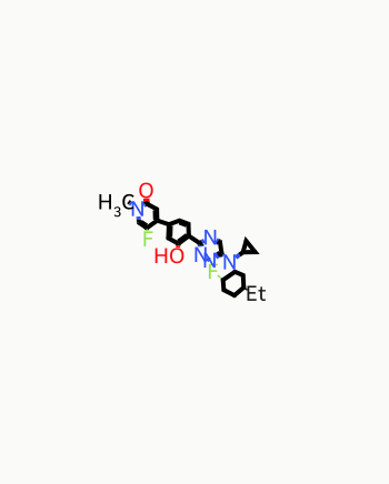 CC[C@@H]1CC[C@H](F)[C@H](N(c2cnc(-c3ccc(-c4cc(=O)n(C)cc4F)cc3O)nn2)C2CC2)C1